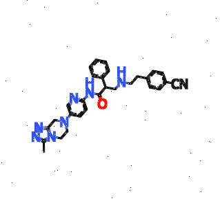 Cc1nnc2n1CCN(c1ccc(NC(=O)C(CNCCc3ccc(C#N)cc3)c3ccccc3)nc1)C2